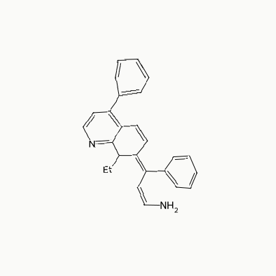 CCC1/C(=C(\C=C/N)c2ccccc2)C=Cc2c(-c3ccccc3)ccnc21